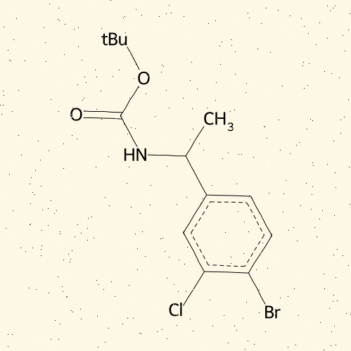 CC(NC(=O)OC(C)(C)C)c1ccc(Br)c(Cl)c1